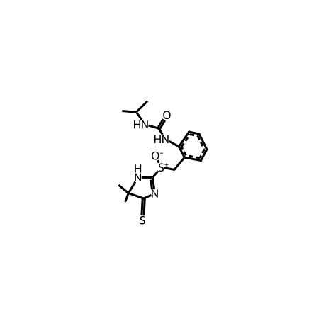 CC(C)NC(=O)Nc1ccccc1C[S+]([O-])C1=NC(=S)C(C)(C)N1